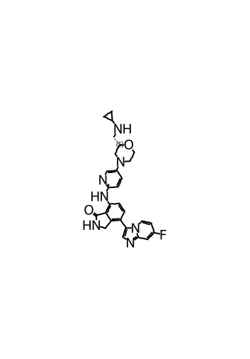 O=C1NCc2c(-c3cnc4cc(F)ccn34)ccc(Nc3ccc(N4CCO[C@@H](CNC5CC5)C4)cn3)c21